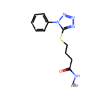 CCCCNC(=O)CCCSc1nnnn1-c1ccccc1